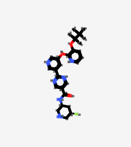 [2H]C([2H])([2H])C([2H])([2H])Oc1cccnc1Oc1cncc(-c2ncc(C(=O)N[C@@H]3CNC[C@@H](F)C3)cn2)c1